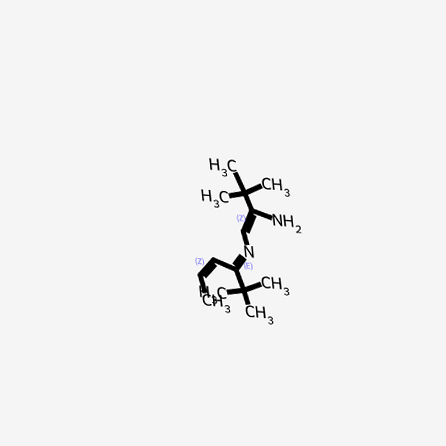 C\C=C/C(=N\C=C(/N)C(C)(C)C)C(C)(C)C